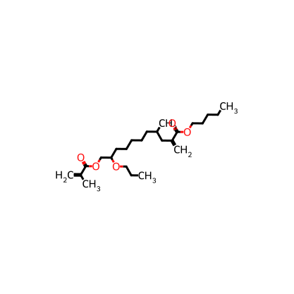 C=C(C)C(=O)OCC(CCCCCC(C)CC(=C)C(=O)OCCCCC)OCCC